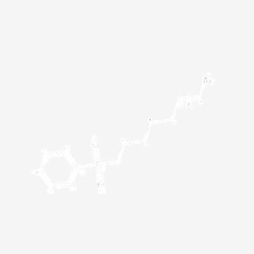 CC(=O)/C=C/CCCCCS(=O)(=O)c1ccccc1